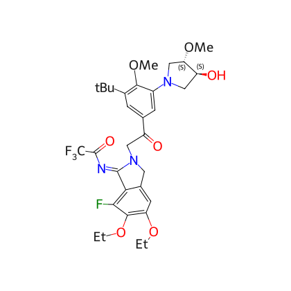 CCOc1cc2c(c(F)c1OCC)C(=NC(=O)C(F)(F)F)N(CC(=O)c1cc(N3C[C@H](OC)[C@@H](O)C3)c(OC)c(C(C)(C)C)c1)C2